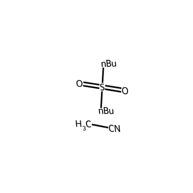 CC#N.CCCCS(=O)(=O)CCCC